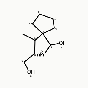 CCCC(O)C1(C(C)CCO)CCCC1